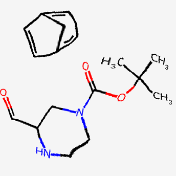 C1=CC2=CC=C1C2.CC(C)(C)OC(=O)N1CCNC(C=O)C1